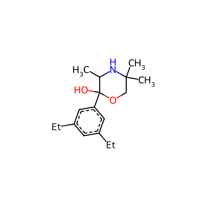 CCc1cc(CC)cc(C2(O)OCC(C)(C)NC2C)c1